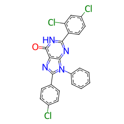 O=c1[nH]c(-c2ccc(Cl)cc2Cl)nc2c1nc(-c1ccc(Cl)cc1)n2-c1ccccc1